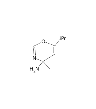 CC(C)C1=CC(C)(N)N=CO1